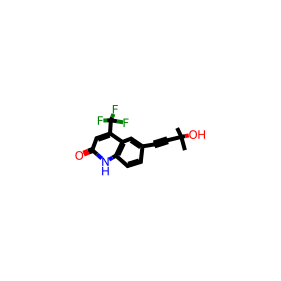 CC(C)(O)C#Cc1ccc2[nH]c(=O)cc(C(F)(F)F)c2c1